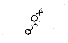 C[C@H]1CN(CC2(C)COC2)CCCN1C(=O)OCc1ccccc1